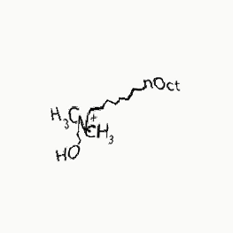 CCCCCCCCCCCCCCCC[N+](C)(C)CCO